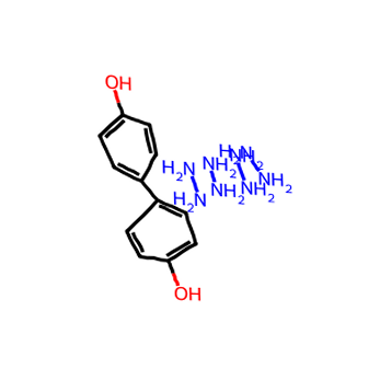 NN.NN.NN.NN.Oc1ccc(-c2ccc(O)cc2)cc1